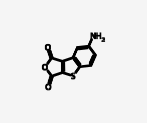 Nc1ccc2sc3c(c2c1)C(=O)OC3=O